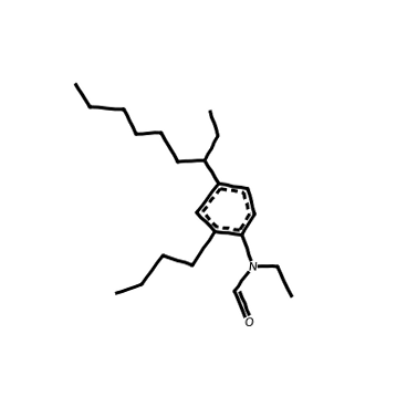 CCCCCCC(CC)c1ccc(N(C=O)CC)c(CCCC)c1